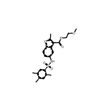 COCCOC(=O)c1c(C)oc2ccc(NS(=O)(=O)c3cc(C)c(C)cc3C)cc12